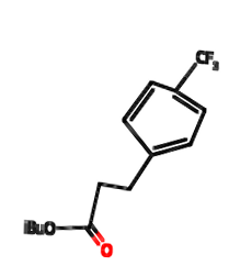 CC(C)COC(=O)CCc1ccc(C(F)(F)F)cc1